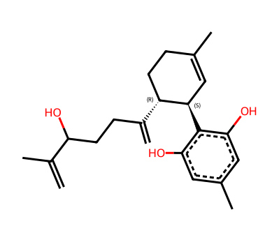 C=C(C)C(O)CCC(=C)[C@@H]1CCC(C)=C[C@H]1c1c(O)cc(C)cc1O